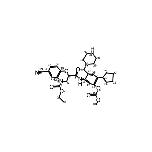 CCOC(=O)N1CC(C(=O)Nc2cc(OC(=O)OC)c(C3CCCC3)cc2CN2CCNCC2)Oc2ccc(C#N)cc21